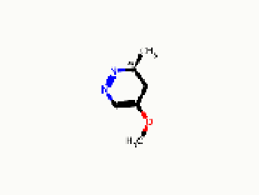 COC1=CN=N[C@@H](C)C1